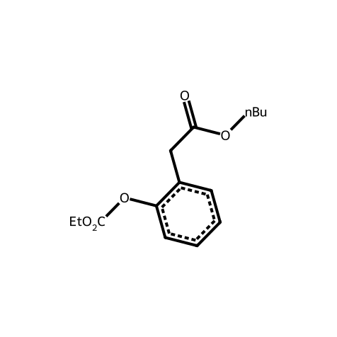 CCCCOC(=O)Cc1ccccc1OC(=O)OCC